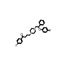 O=C(CCCN1CCN(CC(Oc2ccc(F)cc2)c2ccccc2)CC1)c1ccc(F)cc1